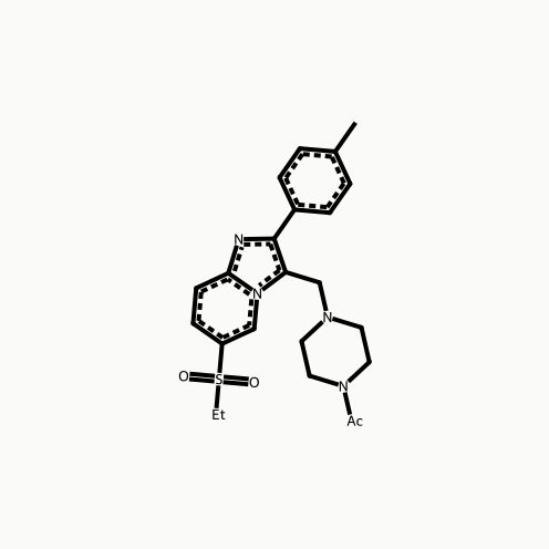 CCS(=O)(=O)c1ccc2nc(-c3ccc(C)cc3)c(CN3CCN(C(C)=O)CC3)n2c1